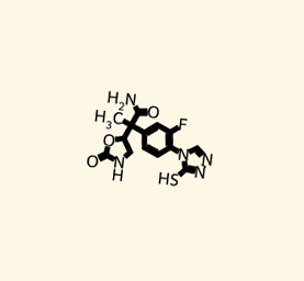 CC(C(N)=O)(c1ccc(-n2cnnc2S)c(F)c1)C1CNC(=O)O1